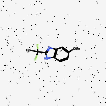 COc1ccc2[nH]c(C(F)(F)C(F)(F)F)nc2c1